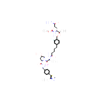 Cc1ncsc1-c1ccc(CNC(=O)[C@@H]2C[C@@H](O)CN2C(=O)[C@@H](NC(=O)CCCCc2ccc(CO[C@H](C)[C@H](CCC(N)=O)NC(=O)OC(C)(C)C)c(F)c2)C(C)(C)C)cc1